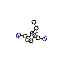 Cc1cc(-c2cccnc2)ccc1-c1c2ccccc2c(-c2ccc(-c3cccnc3)cc2C)c2cc(-c3cccc(-c4ccccc4)c3)ccc12